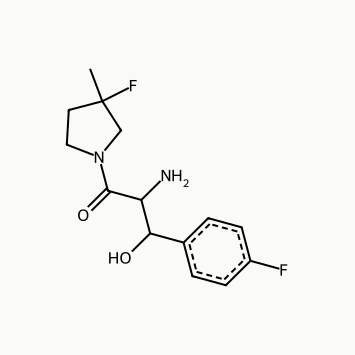 CC1(F)CCN(C(=O)C(N)C(O)c2ccc(F)cc2)C1